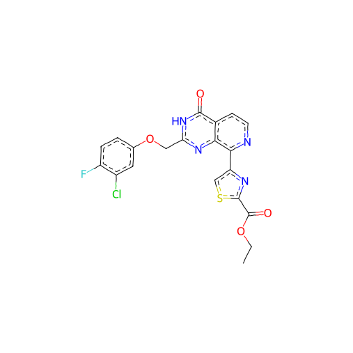 CCOC(=O)c1nc(-c2nccc3c(=O)[nH]c(COc4ccc(F)c(Cl)c4)nc23)cs1